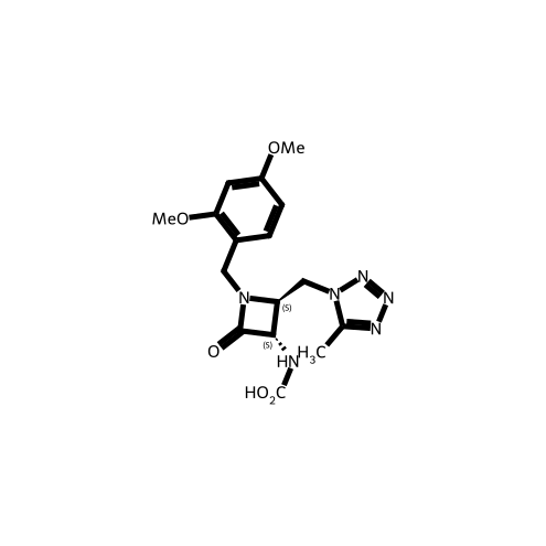 COc1ccc(CN2C(=O)[C@@H](NC(=O)O)[C@@H]2Cn2nnnc2C)c(OC)c1